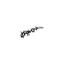 COC1CN(C2CCC(c3nc4c(C(C)C)c(-c5cn6ncnc6c(C)c5C)[nH]c4s3)CC2)C1